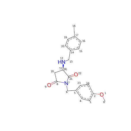 COc1ccc(CN2C(=O)C[C@@H](NCc3ccc(C)cc3)C2=O)cc1